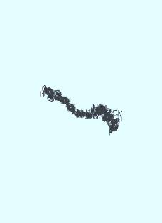 N#Cc1c(NS(=O)(=O)N2CC[C@@H](F)C2)ccc(F)c1Oc1ccc2ncn(-c3ccn(C4CC5(C4)CN(CC4CCN(c6ccc7c(c6)CN(C6CCC(=O)NC6=O)C7=O)CC4)C5)n3)c(=O)c2c1